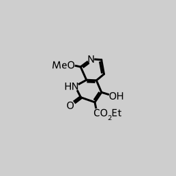 CCOC(=O)c1c(O)c2ccnc(OC)c2[nH]c1=O